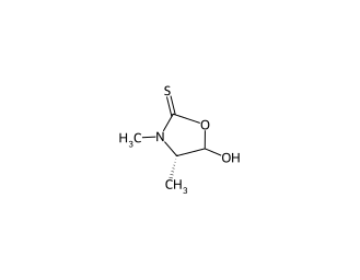 C[C@H]1C(O)OC(=S)N1C